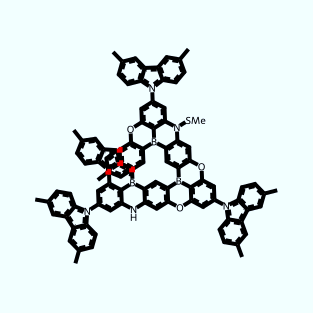 CSN1c2cc3c(cc2B2c4cc(C)ccc4Oc4cc(-n5c6ccc(C)cc6c6cc(C)ccc65)cc1c42)B1c2cc4c(cc2Oc2cc(-n5c6ccc(C)cc6c6cc(C)ccc65)cc(c21)O3)Nc1cc(-n2c3ccc(C)cc3c3cc(C)ccc32)cc2c1B4c1cc(C)cc3c4cc(C)ccc4n-2c13